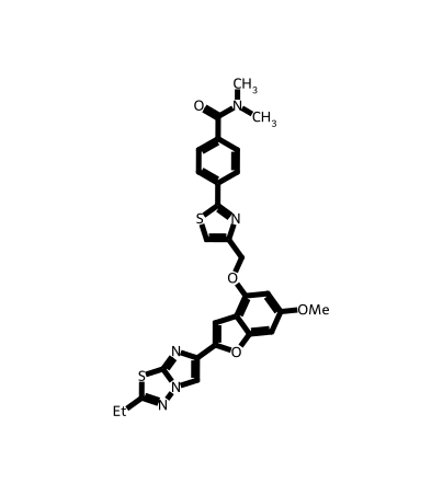 CCc1nn2cc(-c3cc4c(OCc5csc(-c6ccc(C(=O)N(C)C)cc6)n5)cc(OC)cc4o3)nc2s1